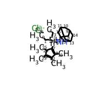 CC[SiH](CC)[Ti+2]([NH]C12CC3CC(CC(C3)C1)C2)[C]1=C(C)C(C)=C(C)C1C.[Cl-].[Cl-]